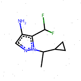 CC(C1CC1)n1ncc(N)c1C(F)F